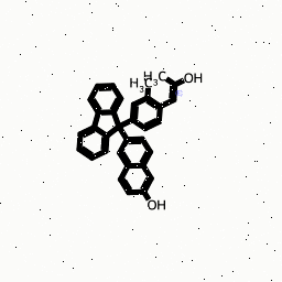 C/C(O)=C\c1ccc(C2(c3ccc4cc(O)ccc4c3)c3ccccc3-c3ccccc32)cc1C